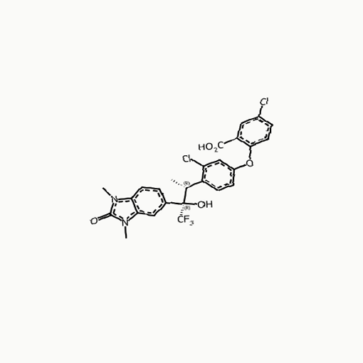 C[C@H](c1ccc(Oc2ccc(Cl)cc2C(=O)O)cc1Cl)[C@@](O)(c1ccc2c(c1)n(C)c(=O)n2C)C(F)(F)F